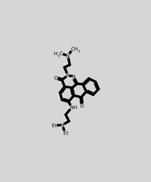 CCN(CC)CCNc1ccc2c(=O)n(CCN(C)C)nc3c2c1C(=O)c1ccccc1-3